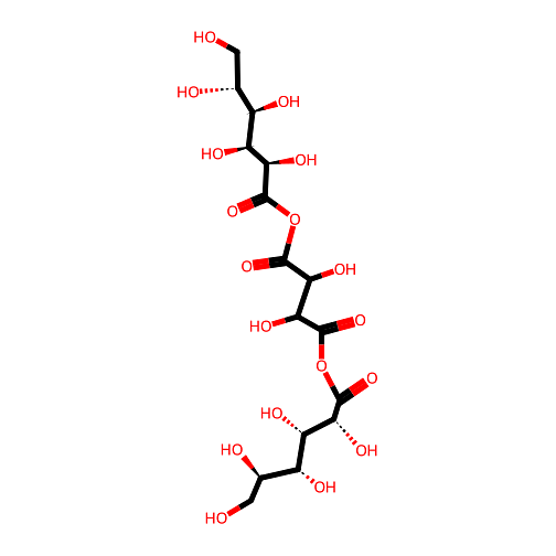 O=C(OC(=O)[C@H](O)[C@@H](O)[C@H](O)[C@H](O)CO)C(O)C(O)C(=O)OC(=O)[C@H](O)[C@@H](O)[C@H](O)[C@H](O)CO